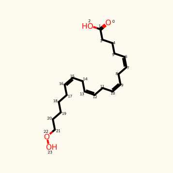 O=C(O)CCC/C=C\C/C=C\C/C=C\C/C=C\CCCCCOO